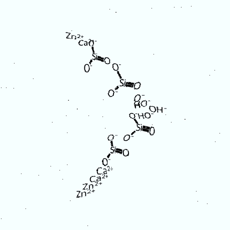 O=[Si]([O-])[O-].O=[Si]([O-])[O-].O=[Si]([O-])[O-].O=[Si]([O-])[O-].[Ca+2].[Ca+2].[Ca+2].[OH-].[OH-].[OH-].[OH-].[Zn+2].[Zn+2].[Zn+2]